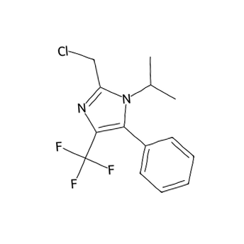 CC(C)n1c(CCl)nc(C(F)(F)F)c1-c1ccccc1